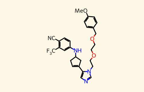 COc1ccc(COCCOCCn2cncc2C2=CCC(Nc3ccc(C#N)c(C(F)(F)F)c3)C2)cc1